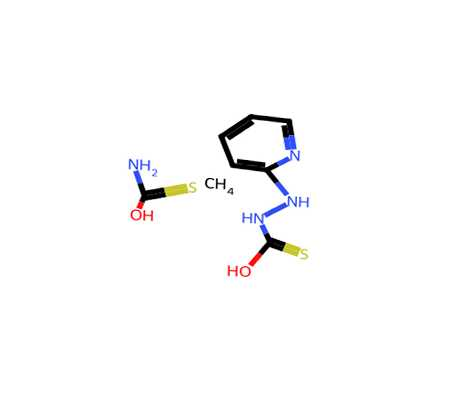 C.NC(O)=S.OC(=S)NNc1ccccn1